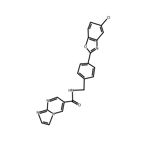 O=C(NCc1ccc(-c2nc3cc(Cl)ccc3o2)cc1)c1cnc2nccn2c1